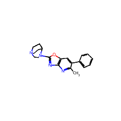 Cc1nc2nc(N3CCN4CCC3CC4)oc2cc1-c1ccccc1